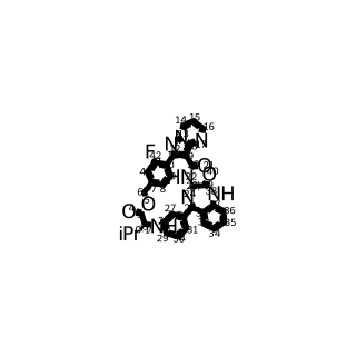 CC(C)[C@H](N)C(=O)OCc1ccc(-c2nn3cccnc3c2C(=O)N[C@H]2N=C(c3ccccc3)c3ccccc3NC2=O)c(F)c1